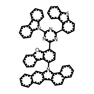 c1ccc2cc3c(cc2c1)c1ccc2ccccc2c1n3-c1ccc(-c2nc(-c3cccc4sc5ccccc5c34)nc(-n3c4ccccc4c4ccccc43)n2)c2oc3ccccc3c12